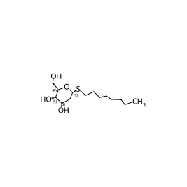 CCCCCCCCS[C@H]1C[C@H](O)[C@@H](O)[C@@H](CO)O1